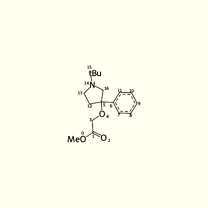 COC(=O)COC1(c2ccccc2)CCN(C(C)(C)C)C1